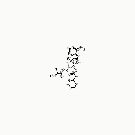 C[C@@H](C(=O)OC[C@H]1O[C@@](C#N)(c2ccc3c(N)ncnn23)[C@H](O)[C@@H]1OC(=O)CC1CCCCC1)C(C)(C)C